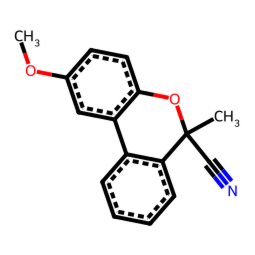 COc1ccc2c(c1)-c1ccccc1C(C)(C#N)O2